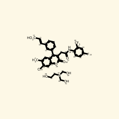 Cc1cc2c(-c3cccc(C=CC(=O)O)c3)c(CC(=O)Nc3ccc(F)cc3C(F)(F)F)c(=O)oc2cc1Cl.OCCN(CO)CO